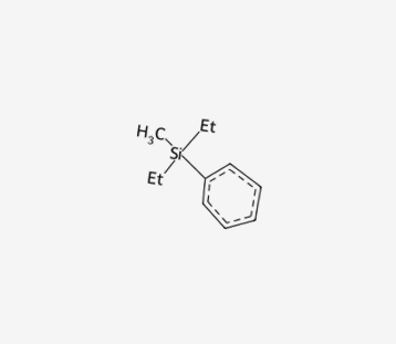 CC[Si](C)(CC)c1ccccc1